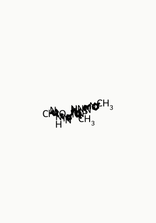 Cc1cn2c(-c3cnn(CC(=O)Nc4ccnc(Cl)c4)c3)cnc2c(Nc2cc(CN3CCCC(C)C3)ns2)n1